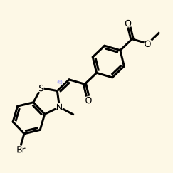 COC(=O)c1ccc(C(=O)/C=C2/Sc3ccc(Br)cc3N2C)cc1